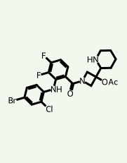 CC(=O)OC1(C2CCCCN2)CN(C(=O)c2ccc(F)c(F)c2Nc2ccc(Br)cc2Cl)C1